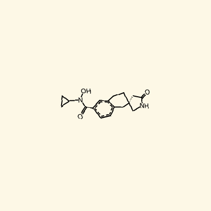 O=C1C[C@]2(CCc3cc(C(=O)N(O)C4CC4)ccc3C2)CN1